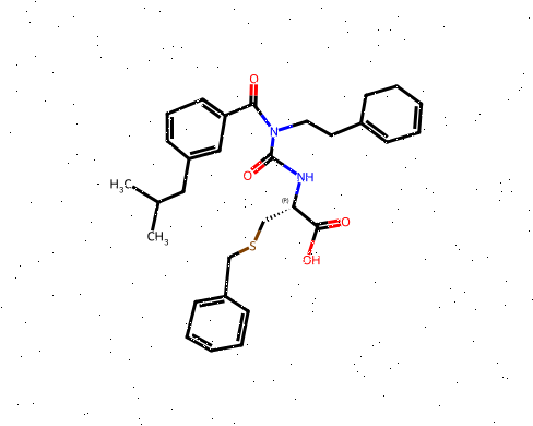 CC(C)Cc1cccc(C(=O)N(CCC2=CC=CCC2)C(=O)N[C@@H](CSCc2ccccc2)C(=O)O)c1